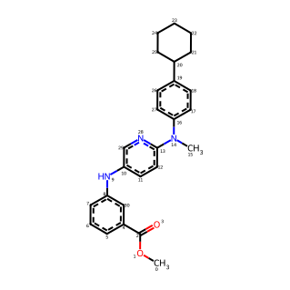 COC(=O)c1cccc(Nc2ccc(N(C)c3ccc(C4CCCCC4)cc3)nc2)c1